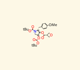 COc1ccc(C[C@@H]2[C@H](OC(=O)C3COC3)[C@@H](OC(=O)OC(C)(C)C)CN2C(=O)OC(C)(C)C)cc1